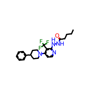 CCCCC(=O)NNc1nccc(N2CCC(c3ccccc3)CC2)c1C(F)(F)F